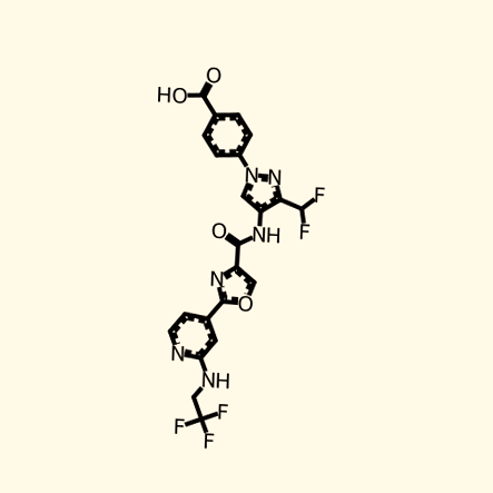 O=C(O)c1ccc(-n2cc(NC(=O)c3coc(-c4ccnc(NCC(F)(F)F)c4)n3)c(C(F)F)n2)cc1